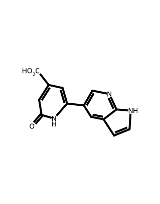 O=C(O)c1cc(-c2cnc3[nH]ccc3c2)[nH]c(=O)c1